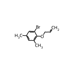 C=CCOc1c(C)cc(C)cc1Br